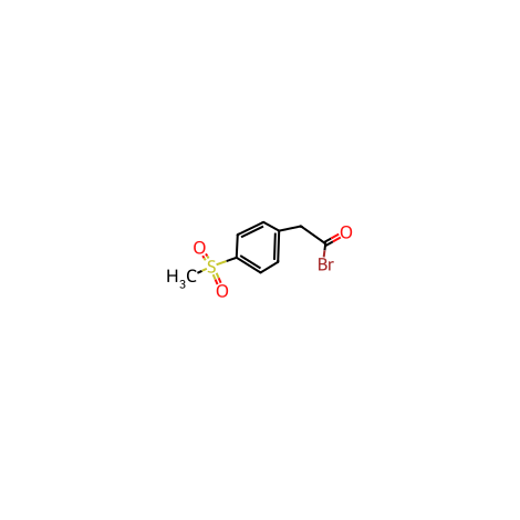 CS(=O)(=O)c1ccc(CC(=O)Br)cc1